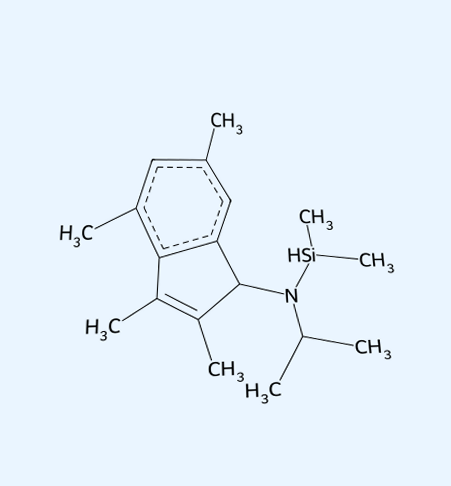 CC1=C(C)C(N(C(C)C)[SiH](C)C)c2cc(C)cc(C)c21